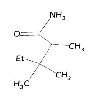 CCC(C)(C)C(C)C(N)=O